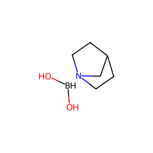 C1CN2CCC1C2.OBO